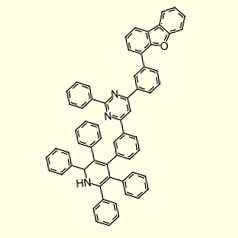 c1ccc(C2=C(c3ccccc3)C(c3cccc(-c4cc(-c5cccc(-c6cccc7c6oc6ccccc67)c5)nc(-c5ccccc5)n4)c3)=C(c3ccccc3)C(c3ccccc3)N2)cc1